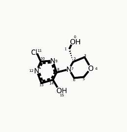 OC[C@@H]1COCCN1c1nc(Cl)ncc1O